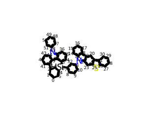 C1=CC2CC(=C1)[SiH](c1cccc(-n3c4ccccc4c4cc5c(cc43)sc3ccccc35)c1)c1cccc3c1c1c2cccc1n3-c1ccccc1